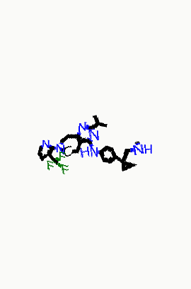 CNCC1(c2ccc(Nc3nc(C(C)C)nc4c3CCN(c3ncccc3C(F)(F)F)CC4)cc2)CC1